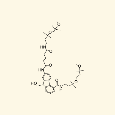 COC(C)(C)CCOC(C)(C)CCNC(=O)c1cccc2c1-c1ccc(NC(=O)CCCC(=O)NCCC(C)(C)OCC(C)(C)OC)cc1C2CO